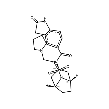 O=C1Cc2cc(C(=O)N[C@@H]3C[C@H]4CC[C@@H](C3)N4S(=O)(=O)CCN3CCCC3)ccc2N1